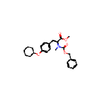 COC(=O)C(Cc1ccc(OC2CCCCC2)cc1)N(C)C(=O)OCc1ccccc1